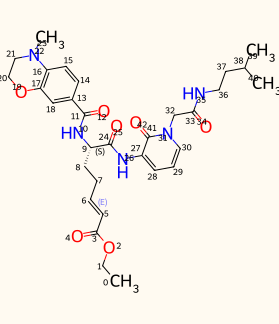 CCOC(=O)/C=C/CC[C@H](NC(=O)c1ccc2c(c1)OCCN2C)C(=O)Nc1cccn(CC(=O)NCCC(C)C)c1=O